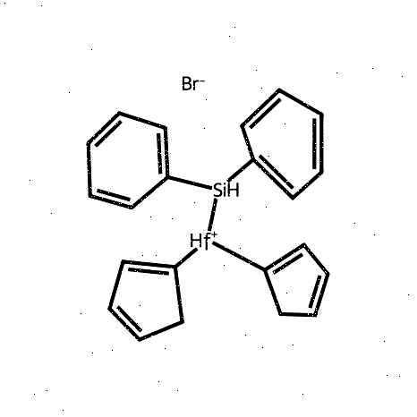 C1=CC[C]([Hf+]([C]2=CC=CC2)[SiH](c2ccccc2)c2ccccc2)=C1.[Br-]